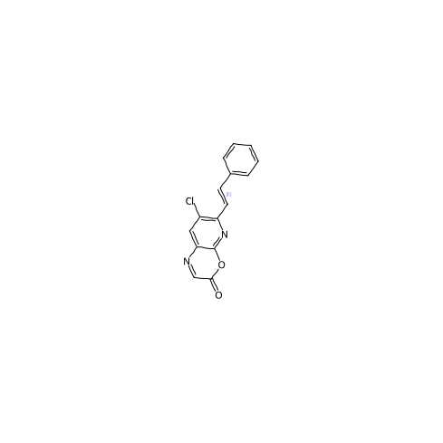 O=c1cnc2cc(Cl)c(/C=C/c3ccccc3)nc2o1